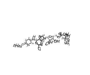 CCCCCCc1ccc(Nc2nc(Cl)nc3c2ncn3[C@@H]2O[C@H](COP(=O)(O)CP(=O)(O)O)C(O)C2O)cc1